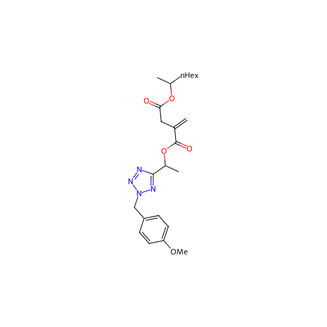 C=C(CC(=O)OC(C)CCCCCC)C(=O)OC(C)c1nnn(Cc2ccc(OC)cc2)n1